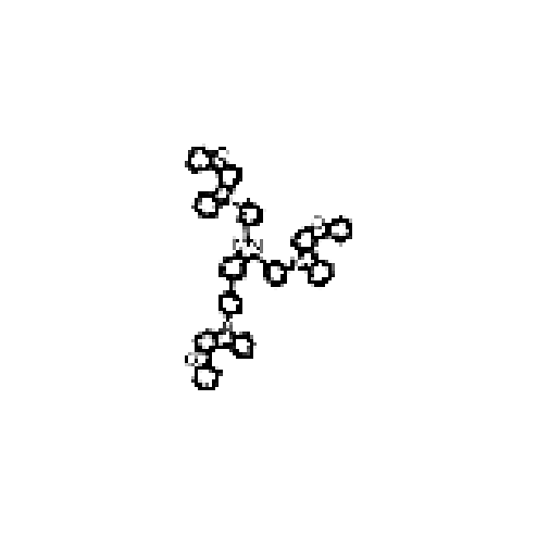 c1cc(-c2nc(-c3cccc(-n4c5ccccc5c5c6c(ccc54)oc4ccccc46)c3)c3cc(-c4ccc(-n5c6ccccc6c6c7c(ccc65)oc5ccccc57)cc4)ccc3n2)cc(-n2c3ccccc3c3c4c(ccc32)oc2ccccc24)c1